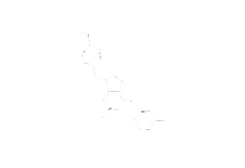 O=C(O)c1ccc(Cn2ccc3c(Oc4ccc(Cl)c(Cl)c4)cc(Cl)cc32)cc1